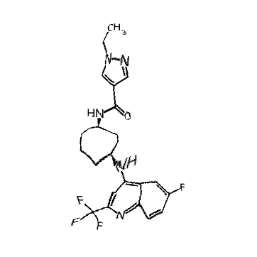 CCn1cc(C(=O)N[C@@H]2CCC[C@H](Nc3cc(C(F)(F)F)nc4ccc(F)cc34)C2)cn1